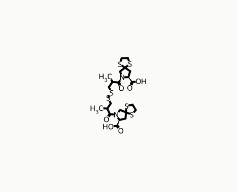 CC(CSSCC(C)C(=O)N1CC2(C[C@H]1C(=O)O)SCCS2)C(=O)N1CC2(C[C@H]1C(=O)O)SCCS2